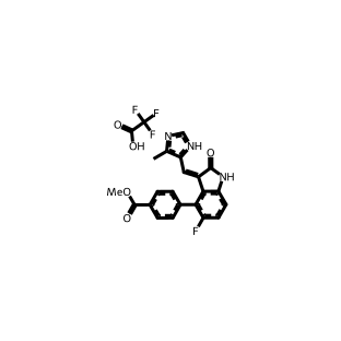 COC(=O)c1ccc(-c2c(F)ccc3c2C(=Cc2[nH]cnc2C)C(=O)N3)cc1.O=C(O)C(F)(F)F